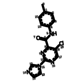 Cc1ccc(NC(=O)c2nc(-n3ccnc3)ncc2Cl)cc1